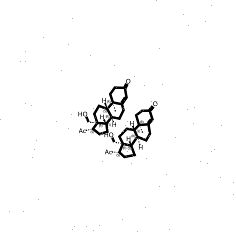 CC(=O)[C@H]1CC[C@H]2[C@@H]3CCC4=CC(=O)CC[C@]4(C)[C@H]3CC[C@]12CO.CC(=O)[C@H]1CC[C@H]2[C@@H]3CCC4=CC(=O)CC[C@]4(C)[C@H]3CC[C@]12CO